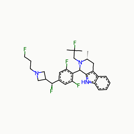 C[C@@H]1Cc2c([nH]c3ccccc23)C(c2c(F)cc([C@@H](F)C3CN(CCCF)C3)cc2F)N1CC(C)(C)F